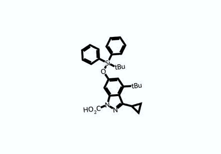 CC(C)(C)c1cc(O[Si](c2ccccc2)(c2ccccc2)C(C)(C)C)cc2c1c(C1CC1)nn2C(=O)O